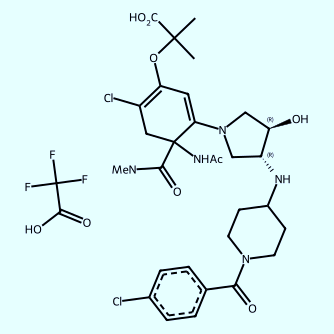 CNC(=O)C1(NC(C)=O)CC(Cl)=C(OC(C)(C)C(=O)O)C=C1N1C[C@@H](O)[C@H](NC2CCN(C(=O)c3ccc(Cl)cc3)CC2)C1.O=C(O)C(F)(F)F